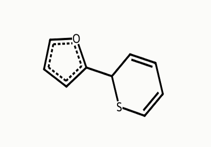 C1=CSC(c2ccco2)C=C1